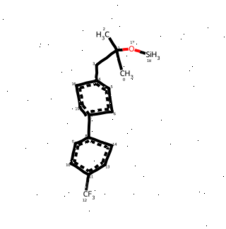 CC(C)(Cc1ccc(-c2ccc(C(F)(F)F)cc2)cc1)O[SiH3]